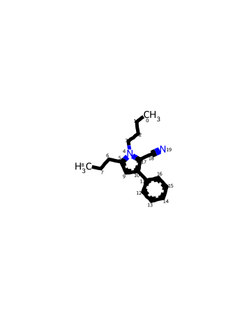 CCCCn1c(CCC)cc(-c2ccccc2)c1C#N